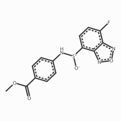 COC(=O)c1ccc(N[S+]([O-])c2ccc(F)c3nonc23)cc1